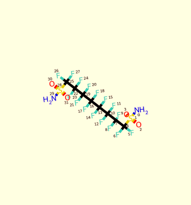 NS(=O)(=O)C(F)(F)C(F)(F)C(F)(F)C(F)(F)C(F)(F)C(F)(F)C(F)(F)C(F)(F)S(N)(=O)=O